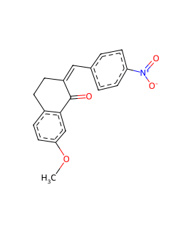 COc1ccc2c(c1)C(=O)C(=Cc1ccc([N+](=O)[O-])cc1)CC2